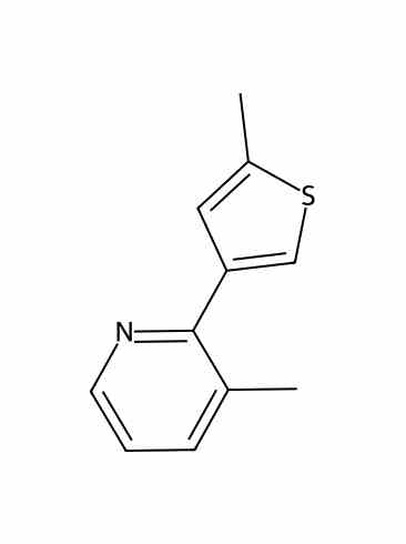 Cc1cc(-c2ncccc2C)cs1